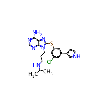 CC(C)NCCCn1c(Sc2cc(Cl)cc(-c3cc[nH]c3)c2)nc2c(N)ncnc21